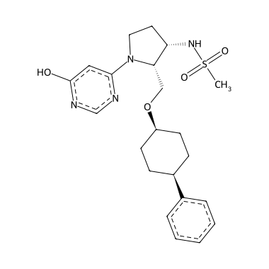 CS(=O)(=O)N[C@H]1CCN(c2cc(O)ncn2)[C@H]1CO[C@H]1CC[C@@H](c2ccccc2)CC1